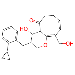 O=C1CCC=CC(CO)=C2OCC(Cc3ccccc3C3CC3)C(O)C12